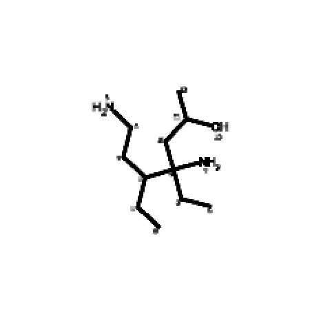 CCC(CCN)C(N)(CC)CC(C)O